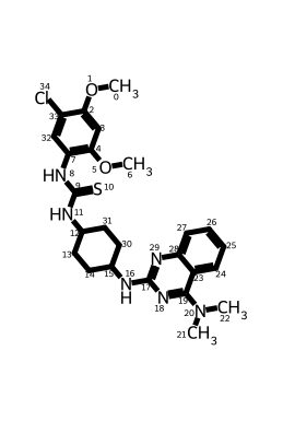 COc1cc(OC)c(NC(=S)NC2CCC(Nc3nc(N(C)C)c4ccccc4n3)CC2)cc1Cl